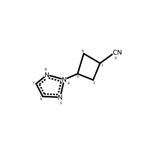 N#CC1CC(n2n[c]cn2)C1